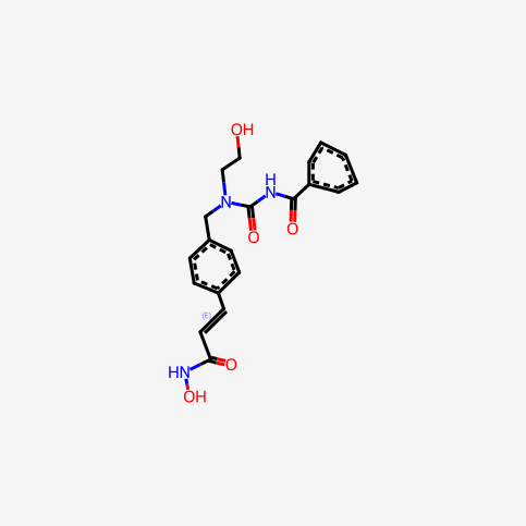 O=C(/C=C/c1ccc(CN(CCO)C(=O)NC(=O)c2ccccc2)cc1)NO